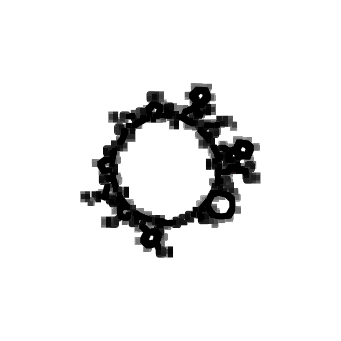 CC[C@@H]1NC(=O)CNC(=O)[C@H]2CCCN2C(=O)[C@@H](CC(N)=O)NC(=O)[C@@H]2C[C@H](O)CN2C(=O)[C@H](Cc2ccc(O)cc2)NC(=O)CSCCN(C)C(=O)C2CCCCCCCCC2N(C)C(=O)C(CC(C)C)NC(=O)[C@H](Cc2cn(CC(=O)O)c3ccccc23)NC(=O)[C@H](CCN)NC(=O)[C@H](Cc2c[nH]c3ccccc23)NC(=O)[C@@H]2C[C@@H](O)CN2C1=O